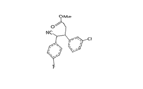 COC(=O)CC(c1cccc(Cl)c1)C(C#N)c1ccc(F)cc1